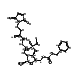 B[C@@H]1O[C@H](COC(=O)OCc2ccccc2)[C@H](OP(O)(=S)OC)C1CCCNC(=S)CCN1C(=O)C=CC1=O